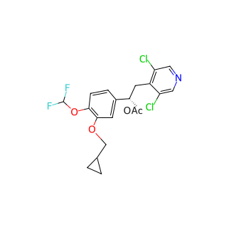 CC(=O)O[C@@H](Cc1c(Cl)cncc1Cl)c1ccc(OC(F)F)c(OCC2CC2)c1